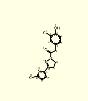 O=C(Cc1ccc(O)c(Cl)c1)N1CCC(c2ccc(Cl)s2)=N1